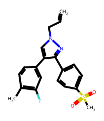 C=CCn1cc(-c2ccc(C)c(F)c2)c(-c2ccc(S(C)(=O)=O)cc2)n1